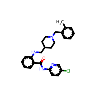 Cc1ccccc1CN1CCC(CNc2ccccc2C(=O)Nc2ccc(Cl)cn2)CC1